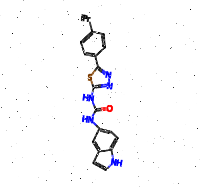 CC(C)c1ccc(-c2nnc(NC(=O)Nc3ccc4[nH]ccc4c3)s2)cc1